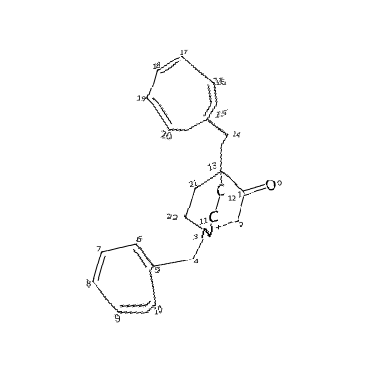 O=C1C[N+]2(Cc3ccccc3)CCC1(Cc1ccccc1)CC2